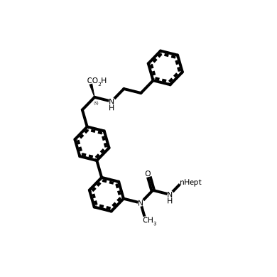 CCCCCCCNC(=O)N(C)c1cccc(-c2ccc(C[C@H](NCCc3ccccc3)C(=O)O)cc2)c1